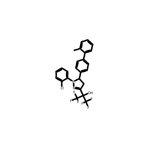 Cc1ccccc1-c1ccc(C2CC(C(O)(C(F)(F)F)C(F)(F)F)=NN2c2ccccc2Cl)cc1